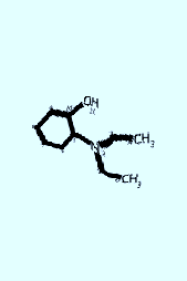 CCN(CC)C1CCCCC1O